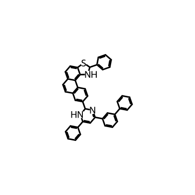 C1=C(c2ccccc2)NC(c2ccc3c(ccc4ccc5c(c43)NC(c3ccccc3)S5)c2)N=C1c1cccc(-c2ccccc2)c1